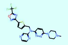 CN1CCN(c2ccc(N(Cc3ccc(-c4noc(C(F)(F)F)n4)s3)c3cnccn3)nn2)CC1